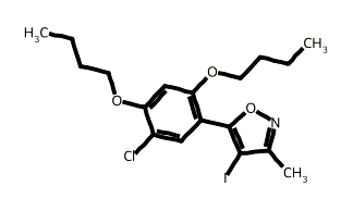 CCCCOc1cc(OCCCC)c(-c2onc(C)c2I)cc1Cl